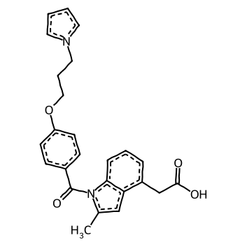 Cc1cc2c(CC(=O)O)cccc2n1C(=O)c1ccc(OCCCn2cccc2)cc1